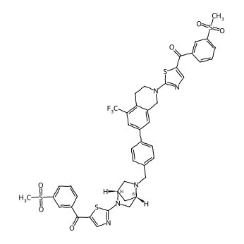 CS(=O)(=O)c1cccc(C(=O)c2cnc(N3CCc4c(cc(-c5ccc(CN6C[C@@H]7C[C@H]6CN7c6ncc(C(=O)c7cccc(S(C)(=O)=O)c7)s6)cc5)cc4C(F)(F)F)C3)s2)c1